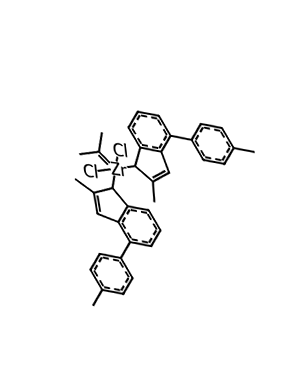 CC1=Cc2c(-c3ccc(C)cc3)cccc2[CH]1[Zr]([Cl])([Cl])(=[C](C)C)[CH]1C(C)=Cc2c(-c3ccc(C)cc3)cccc21